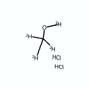 Cl.Cl.[2H]OC([2H])([2H])[2H]